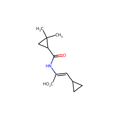 CC1(C)CC1C(=O)NC(=CC1CC1)C(=O)O